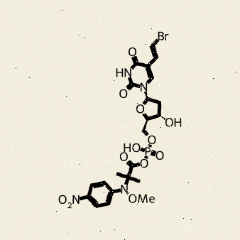 CON(c1ccc([N+](=O)[O-])cc1)C(C)(C)C(=O)OP(=O)(O)OC[C@H]1O[C@@H](n2cc(/C=C/Br)c(=O)[nH]c2=O)C[C@@H]1O